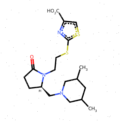 CC1CC(C)CN(C[C@H]2CCC(=O)N2CCSc2nc(C(=O)O)cs2)C1